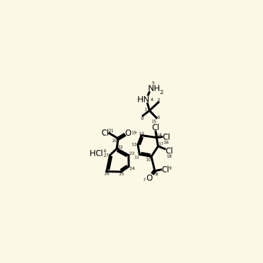 CC(C)(C)NN.Cl.O=C(Cl)C1=CC=CC(Cl)(Cl)C1Cl.O=C(Cl)c1ccccc1